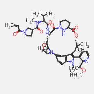 C=CC(=O)N1CC[C@H](C(=O)N(C)C(C(=O)N[C@H]2C[C@@H]3OCCN(c4ccc5c(c4)c(c(-c4cccnc4[C@H](C)OC)n5CC)CC(C)(C)COC(=O)[C@@H]4CCCN(N4)C2=O)[C@@H]3C)C(C)C)C1